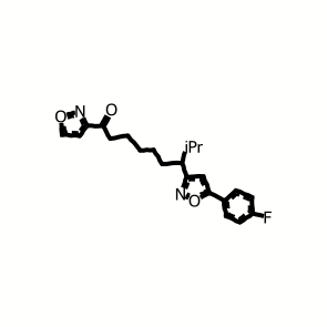 CC(C)C(CCCCCC(=O)c1ccon1)c1cc(-c2ccc(F)cc2)on1